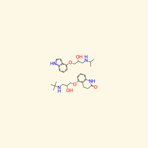 CC(C)(C)NCC(O)COc1cccc2c1CCC(=O)N2.CC(C)NCC(O)COc1cccc2[nH]ccc12